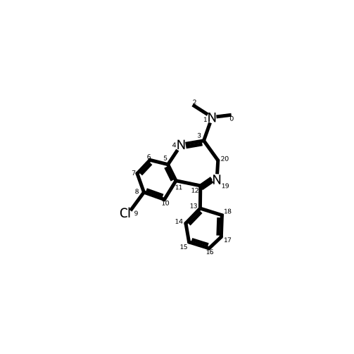 CN(C)C1=Nc2ccc(Cl)cc2C(c2ccccc2)=NC1